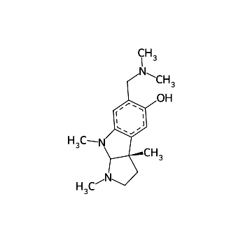 CN(C)Cc1cc2c(cc1O)[C@]1(C)CCN(C)C1N2C